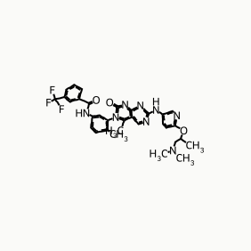 Cc1ccc(NC(=O)c2cccc(C(F)(F)F)c2)cc1-n1c(C)c2cnc(Nc3ccc(OC(C)CN(C)C)nc3)nc2nc1=O